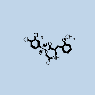 COc1ccccc1CC1CNC(=O)CN(S(=O)(=O)C2=CC(C)C(Cl)C=C2)C1=O